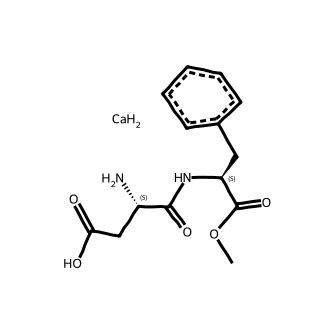 COC(=O)[C@H](Cc1ccccc1)NC(=O)[C@@H](N)CC(=O)O.[CaH2]